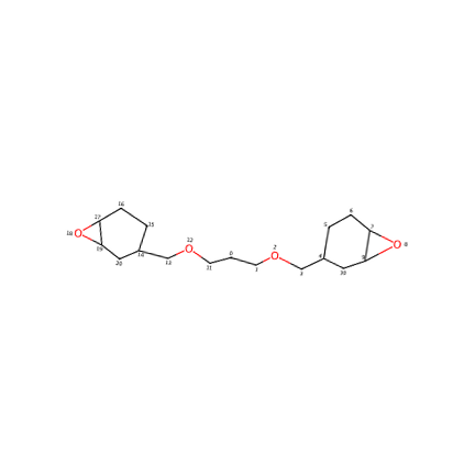 C(COCC1CCC2OC2C1)COCC1CCC2OC2C1